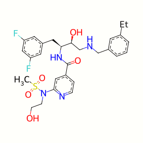 CCc1cccc(CNC[C@H](O)[C@H](Cc2cc(F)cc(F)c2)NC(=O)c2ccnc(N(CCO)S(C)(=O)=O)c2)c1